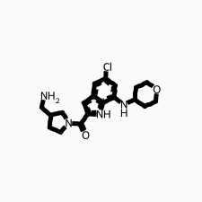 NCC1CCN(C(=O)c2cc3cc(Cl)cc(NC4CCOCC4)c3[nH]2)C1